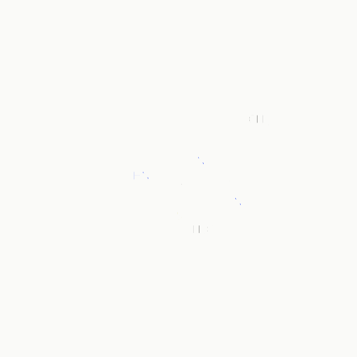 Cc1cccn(C)c1=NC(=S)Nc1ccccc1